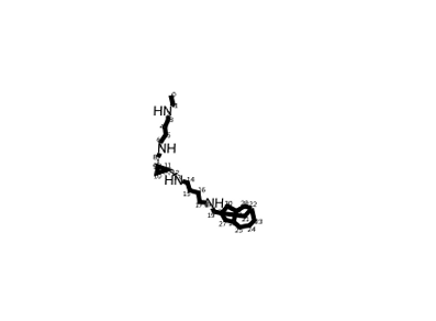 CCNCCCCNC[C@H]1C[C@H]1CNCCCCNCC12CC3CCCC(C1)C(C3)C2